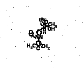 Cc1cc(-c2nc3cc(CN[C@@H](C(=O)OC(C)(C)C)[C@@H](C)O)ccc3n2C[C@H]2CCOC2)cn(C)c1=O